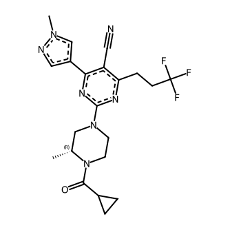 C[C@@H]1CN(c2nc(CCC(F)(F)F)c(C#N)c(-c3cnn(C)c3)n2)CCN1C(=O)C1CC1